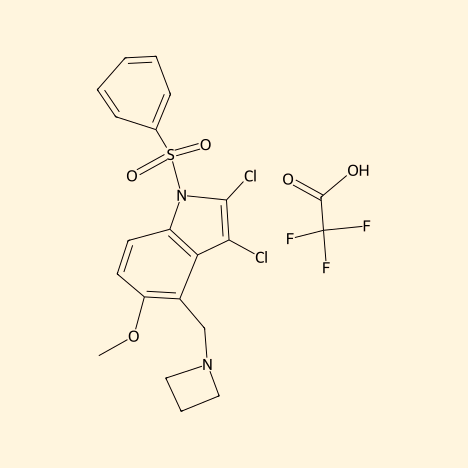 COc1ccc2c(c(Cl)c(Cl)n2S(=O)(=O)c2ccccc2)c1CN1CCC1.O=C(O)C(F)(F)F